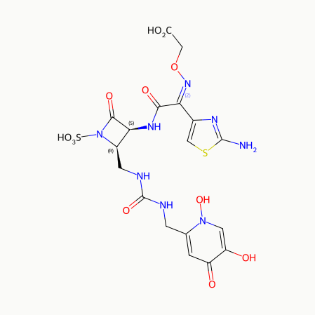 Nc1nc(/C(=N/OCC(=O)O)C(=O)N[C@@H]2C(=O)N(S(=O)(=O)O)[C@@H]2CNC(=O)NCc2cc(=O)c(O)cn2O)cs1